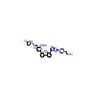 COc1nc(-c2cccc(-c3cccc(-c4cnc5sc(N6CCN(CCO)CC6)nn45)c3Cl)c2Cl)ccc1CNC[C@@H]1CCC(=O)N1